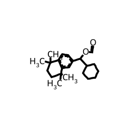 CC1(C)CCC(C)(C)c2cc(C(OC=O)C3CCCCC3)ccc21